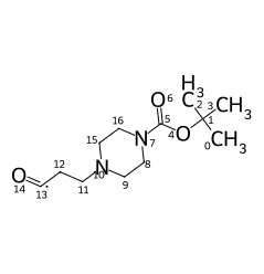 CC(C)(C)OC(=O)N1CCN(CC[C]=O)CC1